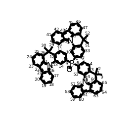 CC1(C)c2ccc(P(=O)(c3ccc4c(c3)-n3c5ccccc5c5cccc(c53)C4(C)C)c3ccc4c(c3)-n3c5ccccc5c5cccc(c53)C4(C)C)cc2-n2c3ccccc3c3cccc1c32